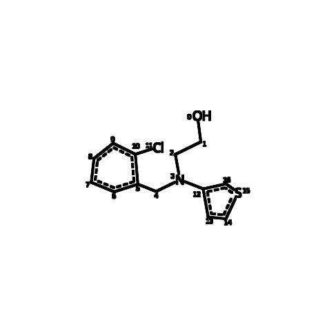 OCCN(Cc1ccccc1Cl)c1ccsc1